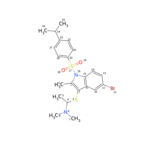 Cc1c(SC(C)N(C)C)c2cc(Br)ccc2n1S(=O)(=O)c1ccc(C(C)C)cc1